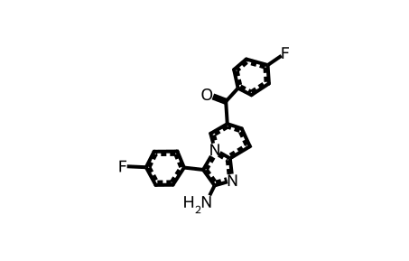 Nc1nc2ccc(C(=O)c3ccc(F)cc3)cn2c1-c1ccc(F)cc1